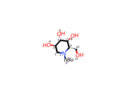 CCCCN1C[C@@H](O)[C@H](O)[C@@H](O)[C@@H]1CO